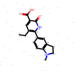 CCc1cc(C(=O)O)c(=O)[nH]c1-c1ccc2c(c1)CCN2C